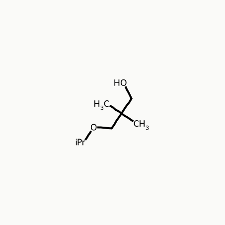 CC(C)OCC(C)(C)CO